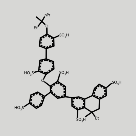 CCCC(C)(CC)Oc1ccc(-c2ccc(Oc3c(-c4ccc(S(=O)(=O)O)cc4)cc(-c4cc5c(c(S(=O)(=O)O)c4)C(C)(CC)Cc4cc(S(=O)(=O)O)ccc4-5)cc3S(=O)(=O)O)c(S(=O)(=O)O)c2)cc1S(=O)(=O)O